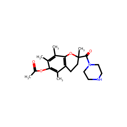 CC(=O)Oc1c(C)c(C)c2c(c1C)CCC(C)(C(=O)N1CCNCC1)O2